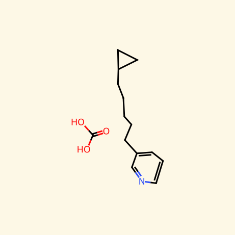 O=C(O)O.c1cncc(CCCCCC2CC2)c1